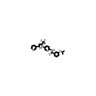 CC(C)Oc1cccc(C(=O)Nc2ccc(-n3nc(-c4cccnc4)cc3C(F)(F)F)cn2)c1